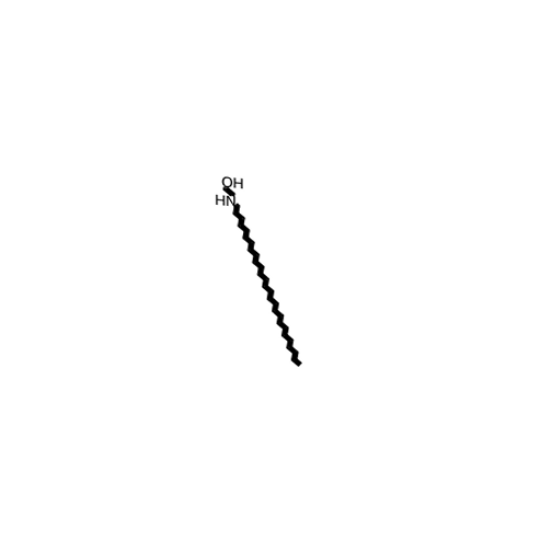 CCCCCCCCCCCCCCCCCCCCCCCCCCCNCCO